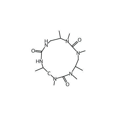 CC1CN(C)C(=O)N(C)C(C)CN(C)C(=O)N(C)C(C)CNC(=O)N1